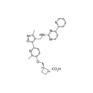 Cc1nc(-c2onc(C)c2CNc2nccc(-c3ccccn3)n2)ccc1OC[C@@H]1CC[C@H]1C(=O)O